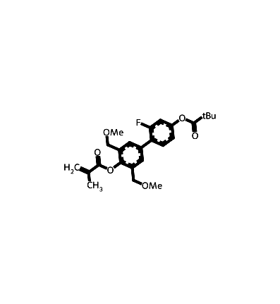 C=C(C)C(=O)Oc1c(COC)cc(-c2ccc(OC(=O)C(C)(C)C)cc2F)cc1COC